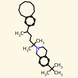 CC(CCC(C)(C)N1CCc2cc(C(C)(C)C)ccc2C1)c1ccc2c(c1)CCCCCCC2